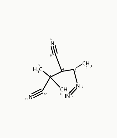 C[C@H](N=N)C(C#N)C(C)(C)C#N